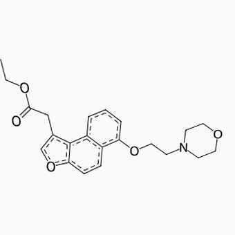 CCOC(=O)Cc1coc2ccc3c(OCCN4CCOCC4)cccc3c12